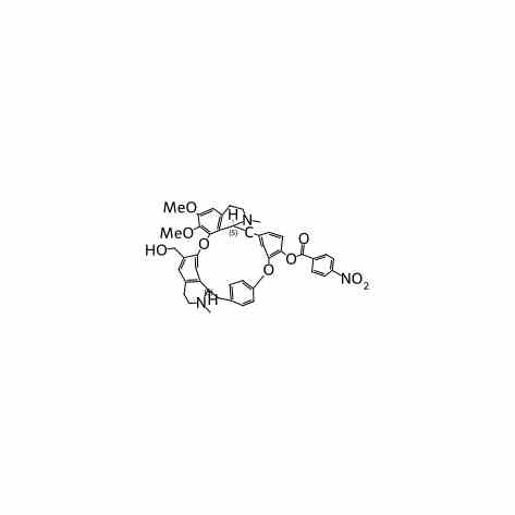 COc1cc2c3c(c1OC)Oc1cc4c(cc1CO)CCN(C)[C@H]4Cc1ccc(cc1)Oc1cc(ccc1OC(=O)c1ccc([N+](=O)[O-])cc1)C[C@@H]3N(C)CC2